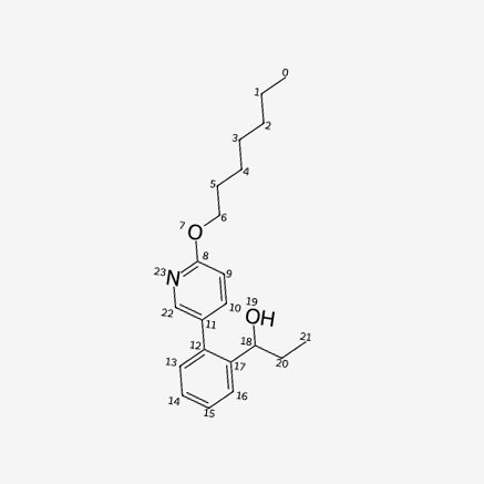 CCCCCCCOc1ccc(-c2ccccc2C(O)CC)cn1